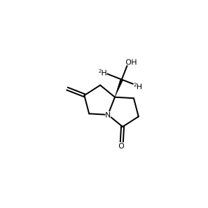 [2H]C([2H])(O)[C@@]12CCC(=O)N1CC(=C)C2